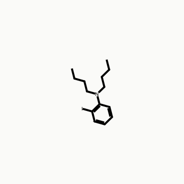 CCCCN(CCCC)c1ccc[c]c1I